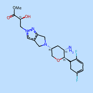 COC(=O)[C@@H](O)Cn1cc2c(n1)CN([C@H]1CO[C@H](C3CC(F)=CC=C3F)[C@@H](N)C1)C2